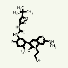 CNc1cc2c(cn1)cc(-c1cc(NC(=O)Nc3cc(C(C)(C)C)on3)c(F)cc1C)c(=O)n2CCO